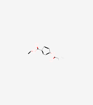 C=COC(=O)c1ccc(OC(=O)CCC)cc1